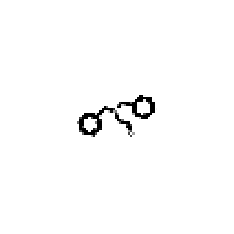 O=CCN(Cc1ccccc1)Cc1ccccc1